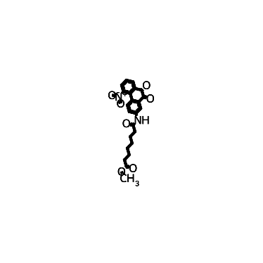 COC(=O)CCCCCCC(=O)Nc1ccc2c(c1)C(=O)C(=O)c1cccc([N+](=O)[O-])c1-2